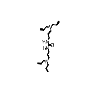 C=CCN(C=CCNC(=O)NCC=CN(CC=C)CC=C)CC=C